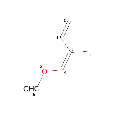 C=CC(C)=COC=O